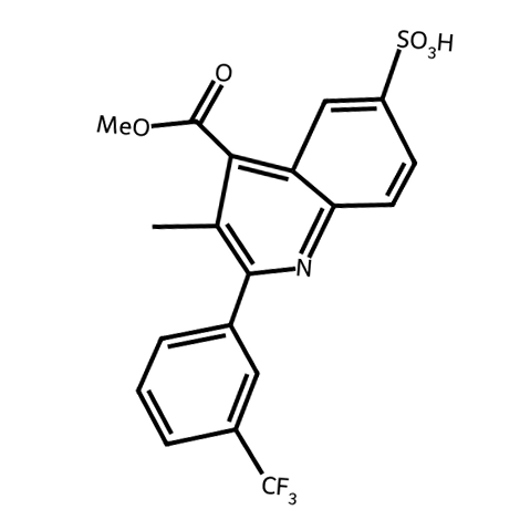 COC(=O)c1c(C)c(-c2cccc(C(F)(F)F)c2)nc2ccc(S(=O)(=O)O)cc12